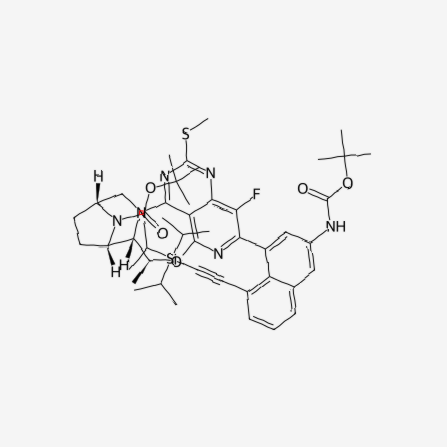 CSc1nc2c3c(nc(-c4cc(NC(=O)OC(C)(C)C)cc5cccc(C#C[Si](C(C)C)(C(C)C)C(C)C)c45)c(F)c3n1)O[C@@H](C)[C@@H]1[C@@H]3CC[C@H](CN21)N3C(=O)OC(C)(C)C